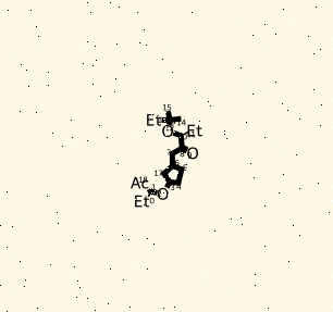 CC[C@@H](OC1CCC(CC(=O)[C@@H](CC)OC(C)(C)CC)C1)C(C)=O